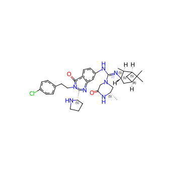 C[C@@H]1[C@@H](/N=C(/Nc2ccc3c(=O)n(CCc4ccc(Cl)cc4)c([C@@H]4CCCN4)nc3c2)N2CC(=O)N[C@@H](C)C2)C[C@H]2C[C@@H]1C2(C)C